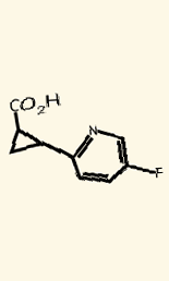 O=C(O)C1CC1c1ccc(F)cn1